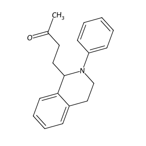 CC(=O)CCC1c2ccccc2CCN1c1ccccc1